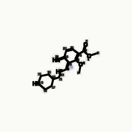 COC(=O)C1=C(OC)/C(=C/PCC2CCNCC2)C(=N)C=C1